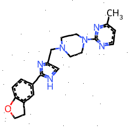 Cc1ccnc(N2CCN(Cc3c[nH]c(-c4ccc5c(c4)CCO5)n3)CC2)n1